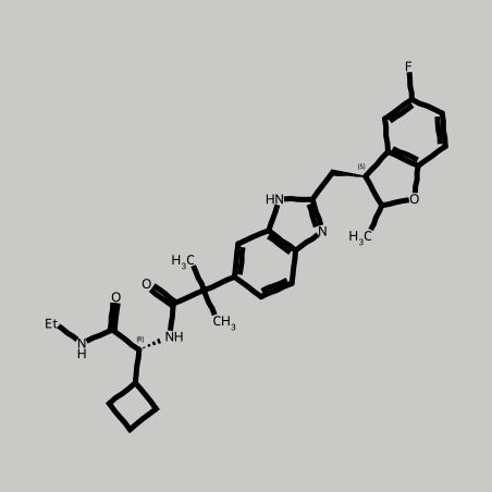 CCNC(=O)[C@H](NC(=O)C(C)(C)c1ccc2nc(C[C@H]3c4cc(F)ccc4OC3C)[nH]c2c1)C1CCC1